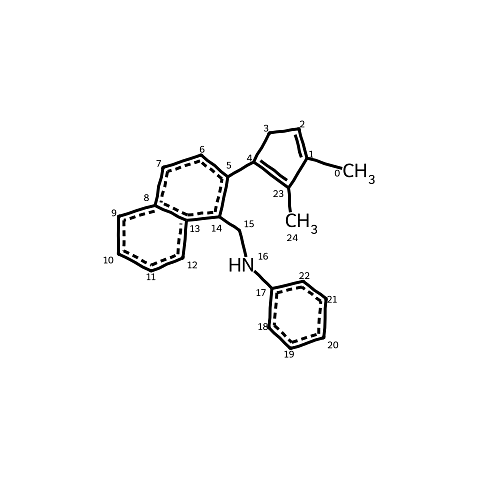 CC1=CCC(c2ccc3ccccc3c2CNc2ccccc2)=C1C